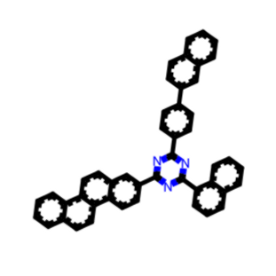 c1ccc2cc(-c3ccc(-c4nc(-c5ccc6c(ccc7c8ccccc8ccc67)c5)nc(-c5cccc6ccccc56)n4)cc3)ccc2c1